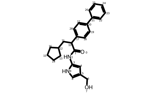 O=C(Nc1cc(CO)c[nH]1)C(CC1CCCC1)c1ccc(-c2ccccc2)cc1